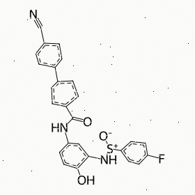 N#Cc1ccc(-c2ccc(C(=O)Nc3ccc(O)c(N[S+]([O-])c4ccc(F)cc4)c3)cc2)cc1